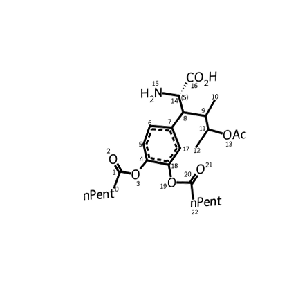 CCCCCC(=O)Oc1ccc(C(C(C)C(C)OC(C)=O)[C@H](N)C(=O)O)cc1OC(=O)CCCCC